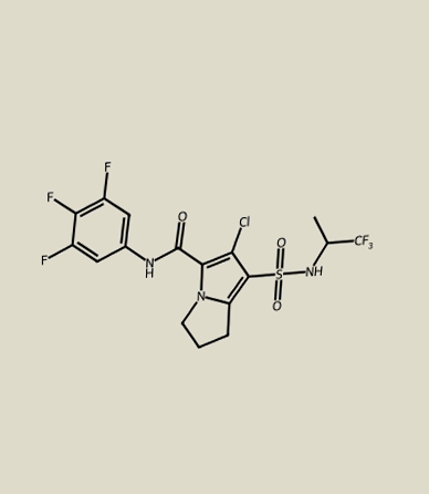 CC(NS(=O)(=O)c1c(Cl)c(C(=O)Nc2cc(F)c(F)c(F)c2)n2c1CCC2)C(F)(F)F